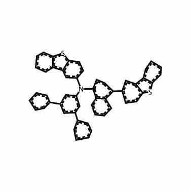 c1ccc(-c2cc(-c3ccccc3)cc(N(c3ccc4sc5ccccc5c4c3)c3ccc(-c4ccc5sc6ccccc6c5c4)c4ccccc34)c2)cc1